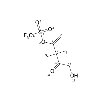 C=C(OS(=O)(=O)C(F)(F)F)C(C)(C)C(=O)CO